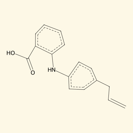 C=CCc1ccc(Nc2ccccc2C(=O)O)cc1